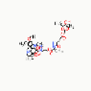 CCC(CO)OC(COC(=O)CCCC(=O)N[C@H](C)C(=O)OCCCNC(=O)[C@]1(O)C2N(C)c3cc(OC)c(C)cc3C23CCN2CC=C[C@](CC)(C23)[C@H]1O)OC